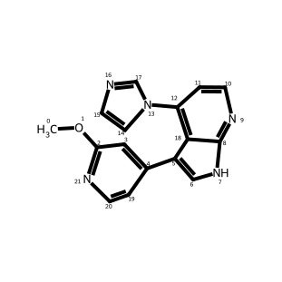 COc1cc(-c2c[nH]c3nccc(-n4ccnc4)c23)ccn1